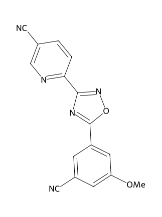 COc1cc(C#N)cc(-c2nc(-c3ccc(C#N)cn3)no2)c1